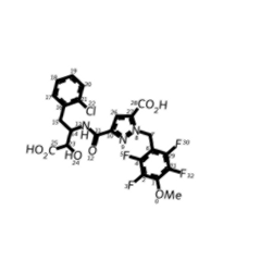 COc1c(F)c(F)c(Cn2nc(C(=O)NC(Cc3ccccc3Cl)C(O)C(=O)O)cc2C(=O)O)c(F)c1F